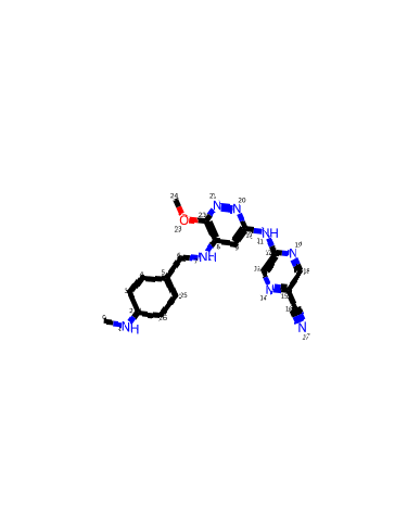 CNC1CCC(CNc2cc(Nc3cnc(C#N)cn3)nnc2OC)CC1